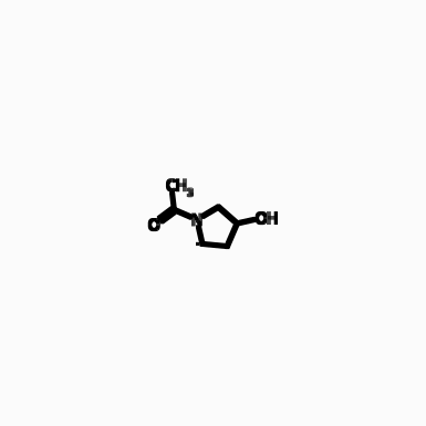 CC(=O)N1[CH]CC(O)C1